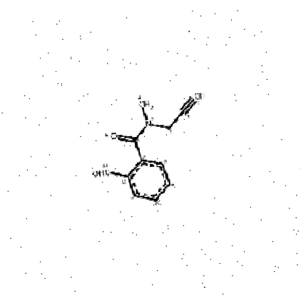 C#CCN(C)C(=O)c1ccccc1C=O